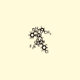 Cc1ccc(CNC(=O)c2ccccc2-n2cnc(Cn3nc(-c4ccc(Cl)cc4)n(CC(O)C(F)(F)F)c3=O)n2)o1